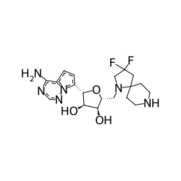 Nc1ncnn2c([C@@H]3O[C@H](CN4CC(F)(F)CC45CCNCC5)[C@@H](O)[C@H]3O)ccc12